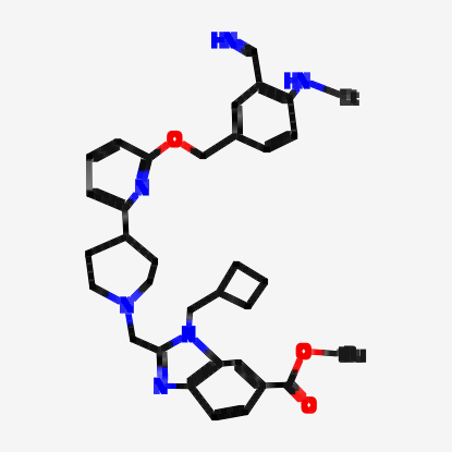 CCNc1ccc(COc2cccc(C3CCN(Cc4nc5ccc(C(=O)OC(C)(C)C)cc5n4CC4CCC4)CC3)n2)cc1C=N